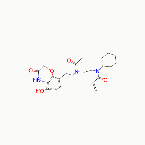 C=CC(=O)N(CCN(CCc1ccc(O)c2c1OCC(=O)N2)C(C)=O)C1CCCCC1